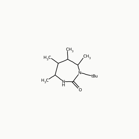 CC1NC(=O)N(C(C)(C)C)C(C)C(C)C1C